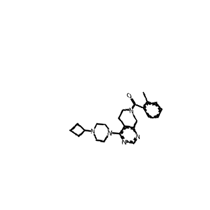 Cc1ccccc1C(=O)N1CCc2c(ncnc2N2CCN(C3CCC3)CC2)C1